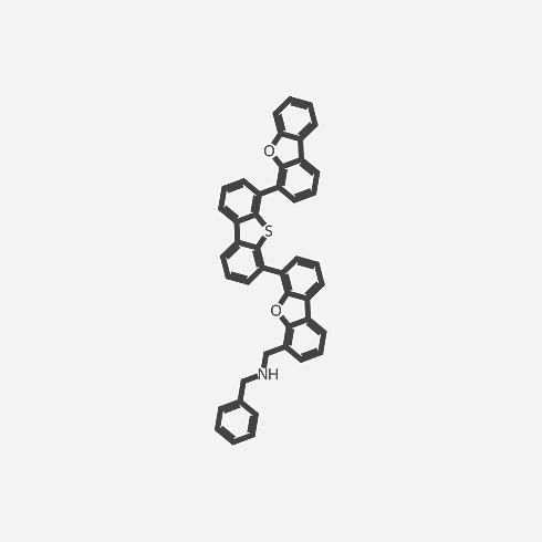 c1ccc(CNCc2cccc3c2oc2c(-c4cccc5c4sc4c(-c6cccc7c6oc6ccccc67)cccc45)cccc23)cc1